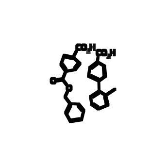 Cc1ccccc1-c1ccc(C(=O)O)cc1.O=C(O)c1ccc(C(=O)OCc2ccccc2)cc1